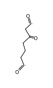 O=[C]CCCC(=O)C[C]=O